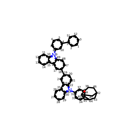 c1ccc(-c2cccc(-n3c4ccccc4c4cc(-c5ccc6c(c5)c5ccccc5n6-c5ccc6c(c5)C5CC7CC(CC6C7)C5)ccc43)c2)cc1